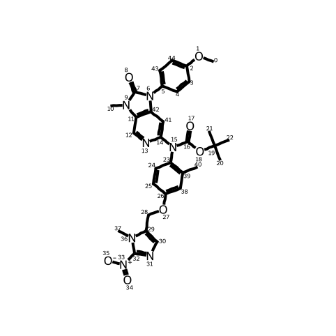 COc1ccc(-n2c(=O)n(C)c3cnc(N(C(=O)OC(C)(C)C)c4ccc(OCc5cnc([N+](=O)[O-])n5C)cc4C)cc32)cc1